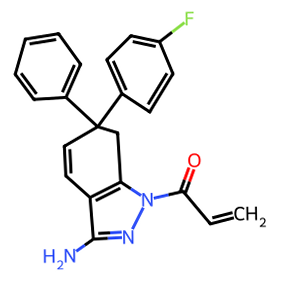 C=CC(=O)n1nc(N)c2c1CC(c1ccccc1)(c1ccc(F)cc1)C=C2